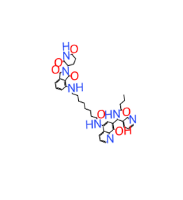 CCCC(=O)NC(c1cccnc1)c1cc(NC(=O)CCCCCCCNc2cccc3c2C(=O)N(C2CCC(=O)NC2=O)C3=O)c2cccnc2c1O